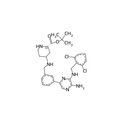 CC(C)(C)OC(=O)[C@@H]1CC(NCc2cccc(-c3cnc(N)c(NCc4c(Cl)cccc4Cl)n3)c2)CCN1